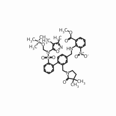 COC(=O)c1cccc([N+](=O)[O-])c1NCc1ccc(-c2ccccc2S(=O)(=O)N(CO[Si](C)(C)C)c2onc(C)c2C)c(CN2CCC(C)(C)C2=O)c1